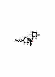 CC(=O)OC1CC2CC(F)(F)C(C1)N2Cc1ccccc1